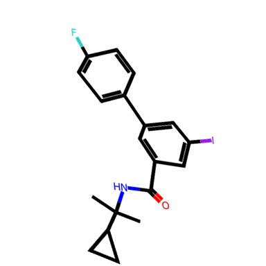 CC(C)(NC(=O)c1cc(I)cc(-c2ccc(F)cc2)c1)C1CC1